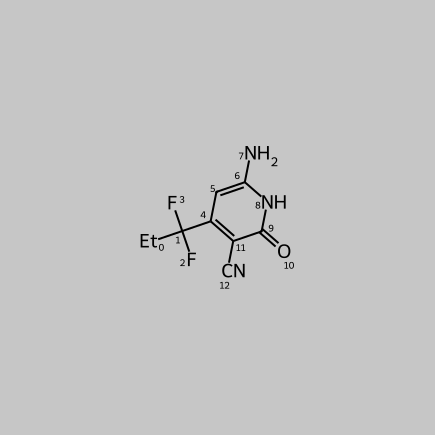 CCC(F)(F)c1cc(N)[nH]c(=O)c1C#N